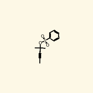 CC#CC(C)(C)OS(=O)(=O)c1ccccc1